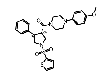 COc1ccc(N2CCN(C(=O)[C@@H]3CN(S(=O)(=O)c4cccs4)C[C@H]3c3ccccc3)CC2)cc1